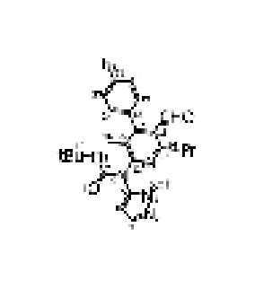 CCn1nccc1N(C(=O)OC(C)(C)C)c1nc(C(C)C)c(C=O)c(-c2ccc(F)cc2)c1C